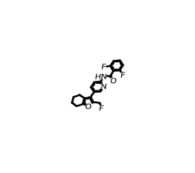 O=C(Nc1ccc(-c2c(CF)oc3c2CCCC3)cn1)c1c(F)cccc1F